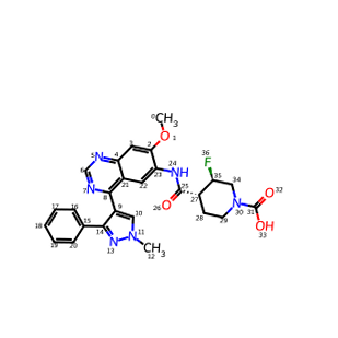 COc1cc2ncnc(-c3cn(C)nc3-c3ccccc3)c2cc1NC(=O)[C@H]1CCN(C(=O)O)C[C@@H]1F